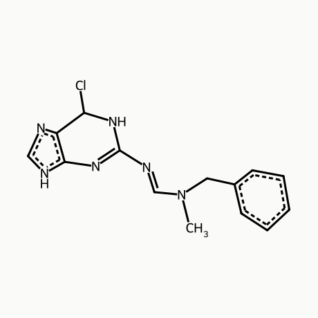 CN(C=NC1=Nc2[nH]cnc2C(Cl)N1)Cc1ccccc1